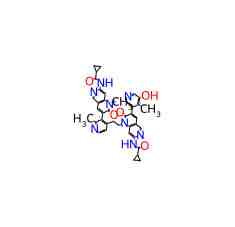 Cc1nccc(CCn2c(=O)c(-c3cncc(O)c3C)cc3cnc(NC(=O)C4CC4)cc32)c1-c1cc2cnc(NC(=O)C3CC3)cc2n(C)c1=O